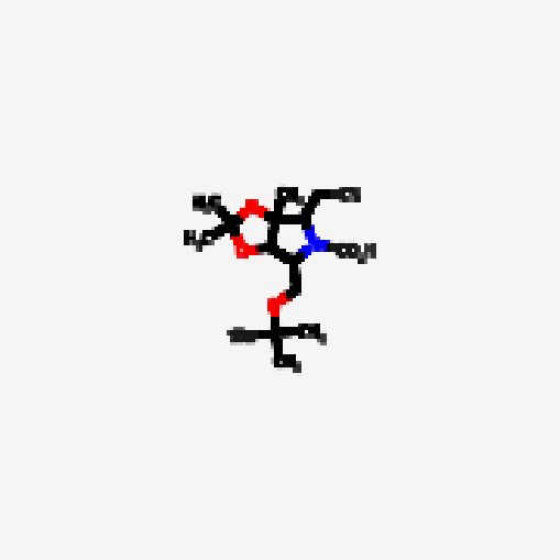 CC1(C)OC2C(CO[Si](C)(C)C(C)(C)C)N(C(=O)O)C(CC#N)C2(C)O1